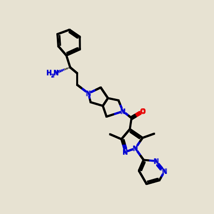 Cc1nn(-c2cccnn2)c(C)c1C(=O)N1CC2CN(CC[C@H](N)c3ccccc3)CC2C1